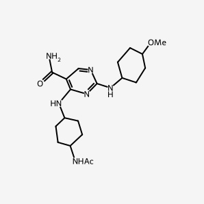 COC1CCC(Nc2ncc(C(N)=O)c(NC3CCC(NC(C)=O)CC3)n2)CC1